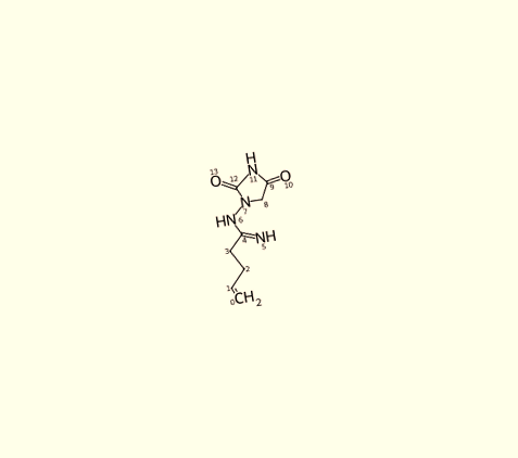 C=CCCC(=N)NN1CC(=O)NC1=O